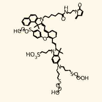 C=C1C=CC(=O)N1CCNC(=O)CCCCCN1/C(=C/C=C2\CCCC(/C=C/C3=[N+](CCCS(=O)(=O)O)c4ccc(N(CCCSOOO)CCCSOOO)cc4C3(C)C)=C2Oc2ccc(SOOO)cc2)C(C)(C)c2c1ccc1ccccc21